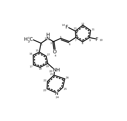 CC(NC(=O)C=Cc1cc(F)ccc1F)c1cccc(Nc2ccncc2)c1